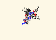 CC(C)(C)[C@H](NC(=O)OC1CC1)C(=O)N1C[C@@H]2[C@H]3C[C@@H]([C@@H]2[C@H]1C(=O)N[C@H](C#N)C[C@@H]1CCNC1=O)[C@H](F)C3